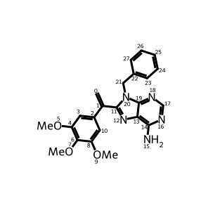 C=C(c1cc(OC)c(OC)c(OC)c1)c1nc2c(N)ncnc2n1Cc1ccccc1